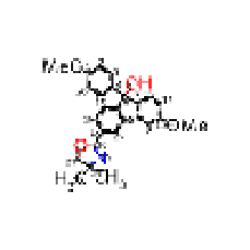 COc1ccc(C(O)(c2ccc(OC)cc2)c2ccc(C3=NC(C)(C)CO3)cc2)cc1